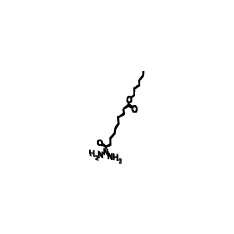 CCCCCCOC(=O)CCCCCCCCC(=O)N(N)N